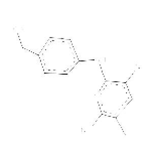 CC(=O)OCc1ccc(Nc2nc(C#N)c(C)cc2[N+](=O)[O-])cc1